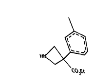 CCOC(=O)C1(c2cccc(C)c2)CNC1